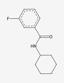 O=C(NC1CC[CH]CC1)c1cccc(F)c1